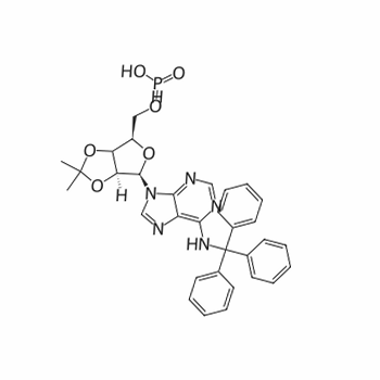 CC1(C)OC2[C@@H](CO[PH](=O)O)O[C@@H](n3cnc4c(NC(c5ccccc5)(c5ccccc5)c5ccccc5)ncnc43)[C@H]2O1